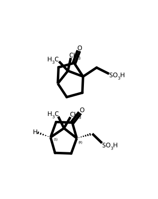 CC1(C)C2CCC1(CS(=O)(=O)O)C(=O)C2.CC1(C)[C@H]2CC[C@]1(CS(=O)(=O)O)C(=O)C2